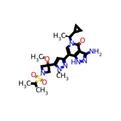 COC1(c2cc(-c3cn([C@@H](C)C4CC4)c(=O)c4c(N)n[nH]c34)nn2C)CN(S(=O)(=O)C(C)C)C1